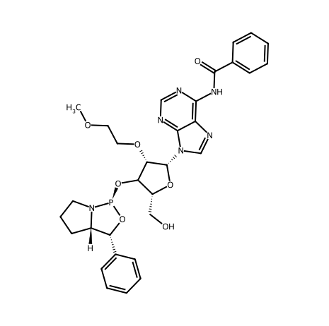 COCCO[C@H]1C(O[P@@]2O[C@H](c3ccccc3)[C@@H]3CCCN32)[C@@H](CO)O[C@H]1n1cnc2c(NC(=O)c3ccccc3)ncnc21